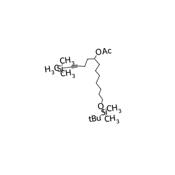 CC(=O)OC(CCC#C[Si](C)(C)C)CCCCCCCO[Si](C)(C)C(C)(C)C